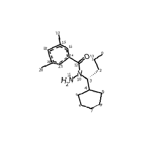 CCC[C@H](C1CCCCC1)N(N)C(=O)c1cc(C)cc(C)c1